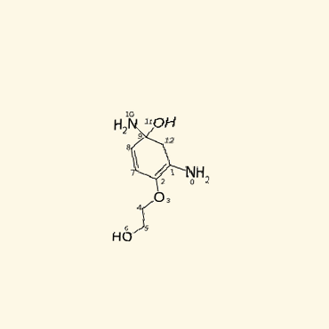 NC1=C(OCCO)C=CC(N)(O)C1